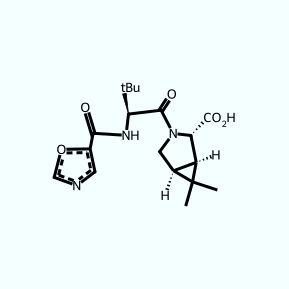 CC(C)(C)[C@H](NC(=O)c1cnco1)C(=O)N1C[C@H]2[C@@H]([C@H]1C(=O)O)C2(C)C